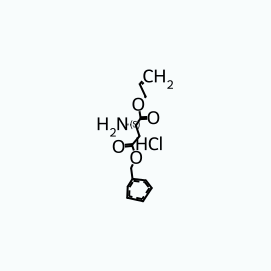 C=CCOC(=O)[C@@H](N)CC(=O)OCc1ccccc1.Cl